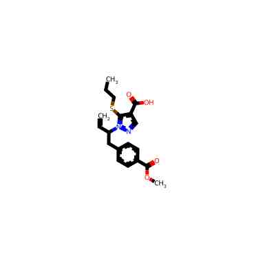 C=CC(Cc1ccc(C(=O)OC)cc1)n1ncc(C(=O)O)c1SCCC